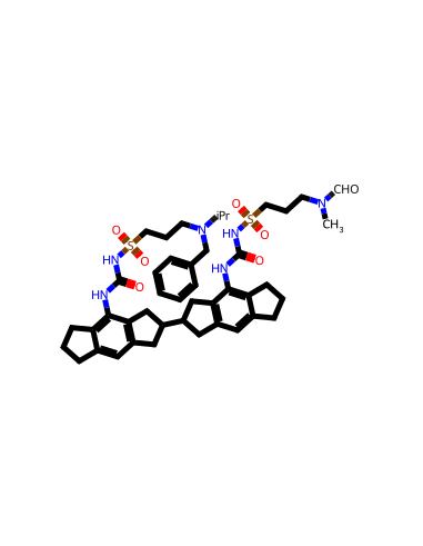 CC(C)N(CCCS(=O)(=O)NC(=O)Nc1c2c(cc3c1CC(C1Cc4cc5c(c(NC(=O)NS(=O)(=O)CCCN(C)C=O)c4C1)CCC5)C3)CCC2)Cc1ccccc1